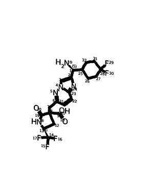 N[C@H](c1cn2nc(CC3(C(=O)O)C[C@@H](C(F)(F)F)NC3=O)ccc2n1)C1CCC(F)(F)CC1